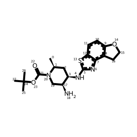 C[C@H]1C[C@@H](Nc2nc3c4c(ccc3s2)OCC4)[C@@H](N)CN1C(=O)OC(C)(C)C